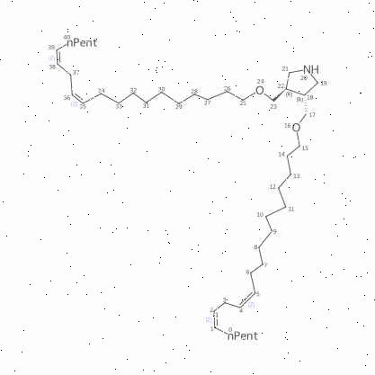 CCCCC/C=C\C/C=C\CCCCCCCCCCOC[C@H]1CNC[C@@H]1COCCCCCCCCCC/C=C\C/C=C\CCCCC